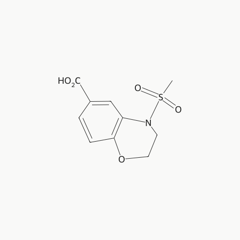 CS(=O)(=O)N1CCOc2ccc(C(=O)O)cc21